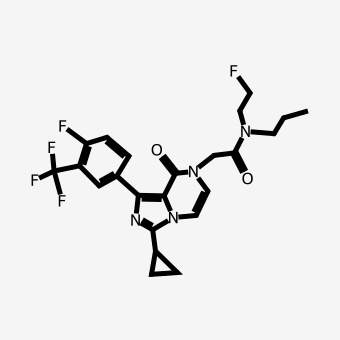 CCCN(CCF)C(=O)Cn1ccn2c(C3CC3)nc(-c3ccc(F)c(C(F)(F)F)c3)c2c1=O